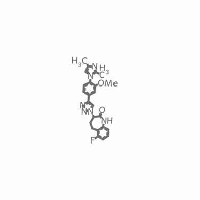 COc1cc(-c2cn(C3CCc4c(F)cccc4NC3=O)nn2)ccc1-n1cc(C)nc1C